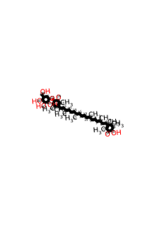 CC1=C(/C=C/C(C)=C/C=C/C(C)=C/C=C/C=C(C)/C=C/C=C(C)/C=C/C2=C(C)C(=O)C(O[C@@H]3CC(CO)[C@@H](O)C(O)C3O)CC2(C)C)C(C)(C)CC(O)C1=O